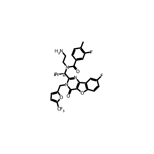 Cc1ccc(C(=O)N(CCN)[C@@H](c2nc3c(oc4ccc(F)cc43)c(=O)n2Cc2ccc(C(F)(F)F)o2)C(C)C)cc1F